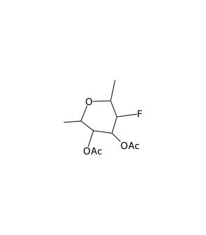 CC(=O)OC1C(C)OC(C)C(F)C1OC(C)=O